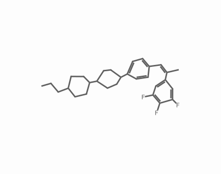 CCCC1CCC(C2CCC(c3ccc(C=C(C)c4cc(F)c(F)c(F)c4)cc3)CC2)CC1